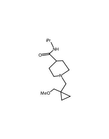 COCC1(CN2CCC(C(=O)NC(C)C)CC2)CC1